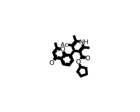 CC(=O)C1=C(C)NC(C)=C(C(=O)OC2CCCC2)C1c1cccc2c(=O)cc(C)oc12